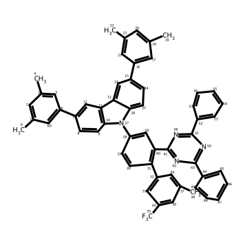 Cc1cc(C)cc(-c2ccc3c(c2)c2cc(-c4cc(C)cc(C)c4)ccc2n3-c2ccc(-c3cc(C(F)(F)F)cc(C(F)(F)F)c3)c(-c3nc(-c4ccccc4)nc(-c4ccccc4)n3)c2)c1